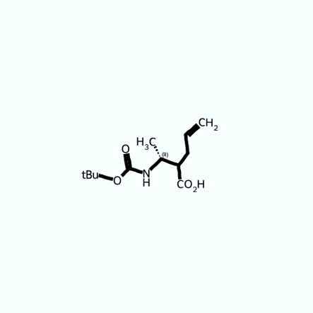 C=CCC(C(=O)O)[C@@H](C)NC(=O)OC(C)(C)C